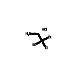 CCC(Cl)(CC)CN.Cl